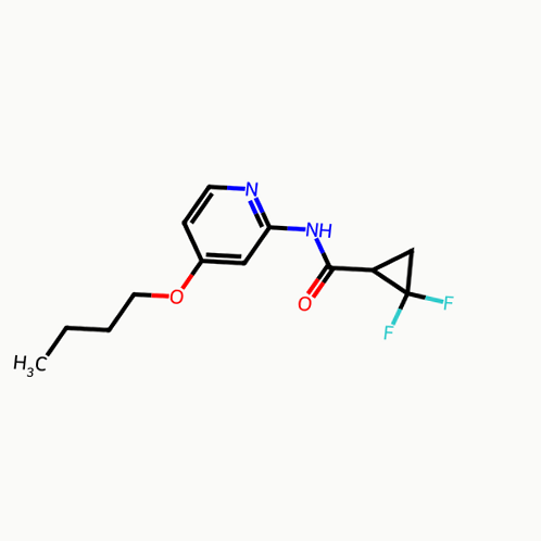 CCCCOc1ccnc(NC(=O)C2CC2(F)F)c1